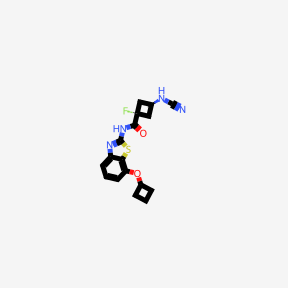 N#CN[C@H]1C[C@@](F)(C(=O)Nc2nc3cccc(OC4CCC4)c3s2)C1